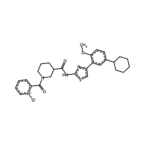 COc1ccc(C2CCCCC2)cc1-c1csc(NC(=O)C2CCCN(C(=O)c3cccc[n+]3[O-])C2)n1